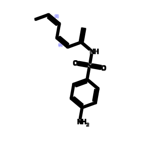 C=C(/C=C\C=C/C)NS(=O)(=O)c1ccc(N)cc1